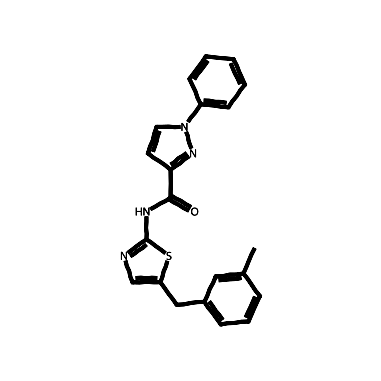 Cc1cccc(Cc2cnc(NC(=O)c3ccn(-c4ccccc4)n3)s2)c1